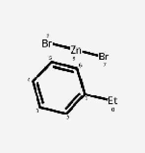 CCc1ccccc1.[Br][Zn][Br]